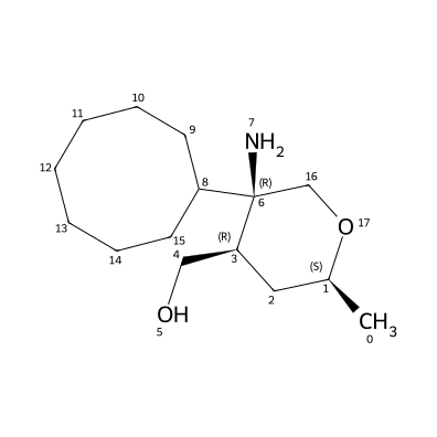 C[C@H]1C[C@@H](CO)[C@](N)(C2CCCCCCC2)CO1